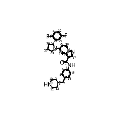 O=C(Nc1ccc(CN2CCNCC2)cc1)c1cnn2ccc(N3CCC[C@@H]3c3cc(F)ccc3F)nc12